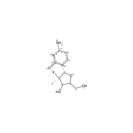 C[C@@]1(F)C(O)C(CO)O[C@H]1n1ccc(N)nc1=O